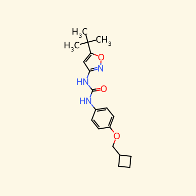 CC(C)(C)c1cc(NC(=O)Nc2ccc(OCC3CCC3)cc2)no1